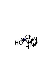 O/N=C(\Nc1cnccn1)C(F)(F)F